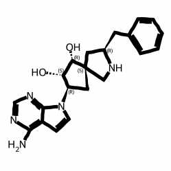 Nc1ncnc2c1ccn2[C@@H]1C[C@@]2(CN[C@H](Cc3ccccc3)C2)[C@@H](O)[C@H]1O